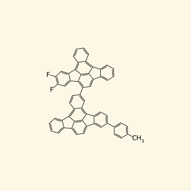 Cc1ccc(-c2ccc3c(c2)-c2ccc4c5c(c6ccc(-c7cc8c9c(c%10ccccc%10c%10c9c7-c7cc(F)c(F)cc7-%10)-c7ccccc7-8)cc6c-3c25)-c2ccccc2-4)cc1